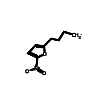 [CH2]CCCc1ccc([N+](=O)[O-])o1